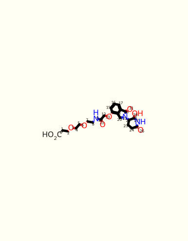 O=C(O)CCOCCOCCNC(=O)COc1cccc2c1CN(C1CCC(=O)NC1O)C2=O